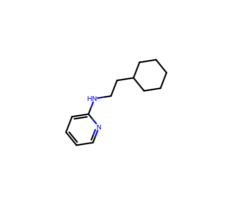 c1ccc(NCCC2CCCCC2)nc1